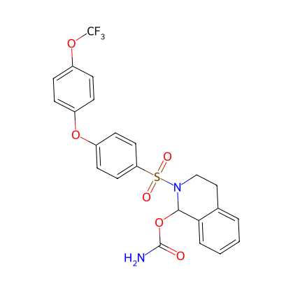 NC(=O)OC1c2ccccc2CCN1S(=O)(=O)c1ccc(Oc2ccc(OC(F)(F)F)cc2)cc1